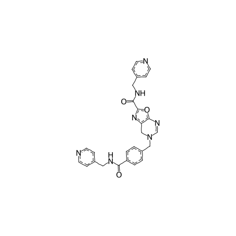 O=C(NCc1ccncc1)c1ccc(CN2C=Nc3oc(C(=O)NCc4ccncc4)nc3C2)cc1